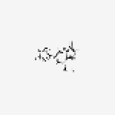 Cc1cc(-c2nnco2)cc2[nH]cnc12